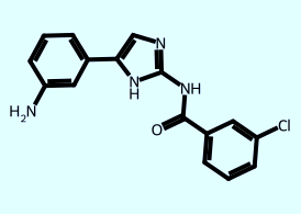 Nc1cccc(-c2cnc(NC(=O)c3cccc(Cl)c3)[nH]2)c1